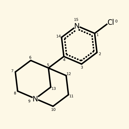 Clc1ccc(C23CCCN(CCC2)C3)cn1